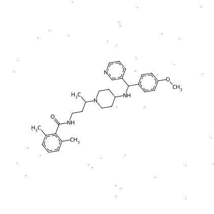 COc1ccc(C(NC2CCN(C(C)CCNC(=O)c3c(C)cccc3C)CC2)c2cccnc2)cc1